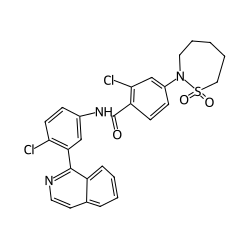 O=C(Nc1ccc(Cl)c(-c2nccc3ccccc23)c1)c1ccc(N2CCCCCS2(=O)=O)cc1Cl